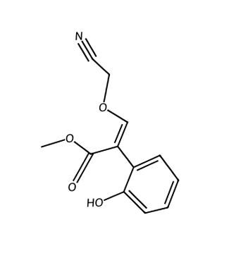 COC(=O)C(=COCC#N)c1ccccc1O